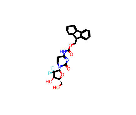 O=C(Nc1ccn([C@@H]2O[C@H](CO)[C@@H](O)C2(F)F)c(=O)n1)OCC1c2ccccc2-c2ccccc21